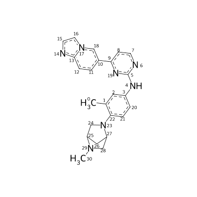 Cc1cc(Nc2nccc(-c3ccc4nccn4c3)n2)ccc1N1CC2CC1CN2C